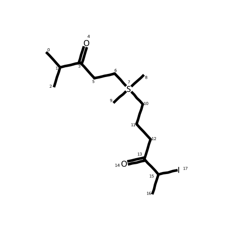 CC(C)C(=O)CCS(C)(C)CCCC(=O)C(C)I